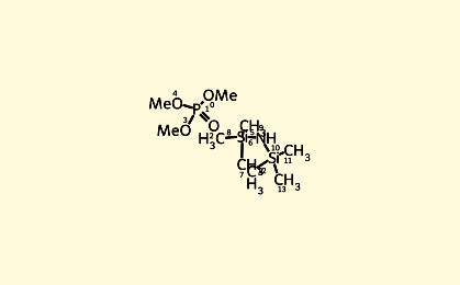 COP(=O)(OC)OC.C[Si](C)(C)N[Si](C)(C)C